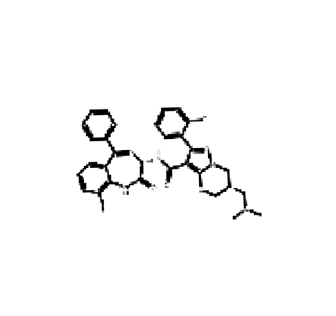 CN(C)C[C@H]1COc2c(C(=O)N[C@H]3N=C(c4ccccc4)c4cccc(F)c4NC3=O)c(-c3ccccc3F)nn2C1